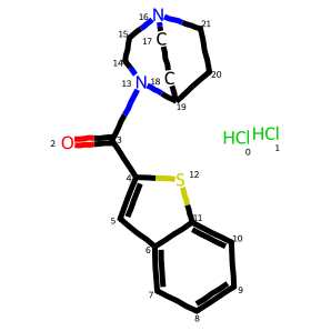 Cl.Cl.O=C(c1cc2ccccc2s1)N1CCN2CCC1CC2